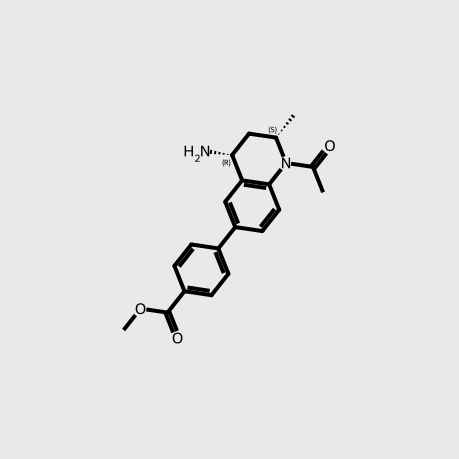 COC(=O)c1ccc(-c2ccc3c(c2)[C@H](N)C[C@H](C)N3C(C)=O)cc1